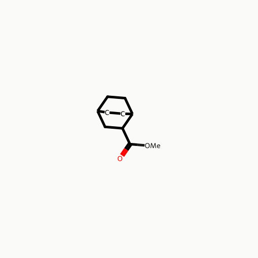 COC(=O)C1CC2CCC1CC2